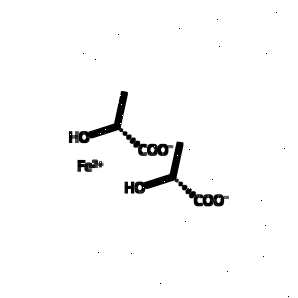 C[C@@H](O)C(=O)[O-].C[C@@H](O)C(=O)[O-].[Fe+2]